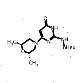 CCCCCCNc1nc(N2C[C@H](C)O[C@@H](C)C2)cc(=O)[nH]1